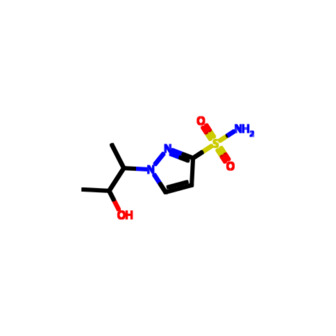 CC(O)C(C)n1ccc(S(N)(=O)=O)n1